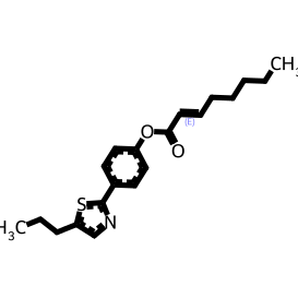 CCCCC/C=C/C(=O)Oc1ccc(-c2ncc(CCC)s2)cc1